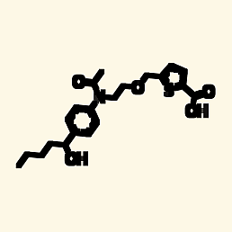 CCCCC(O)c1ccc(N(CCOCc2ccc(C(=O)O)s2)C(C)=O)cc1